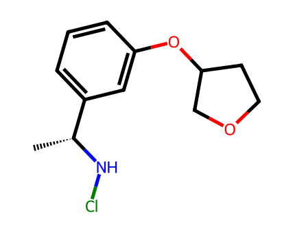 C[C@@H](NCl)c1cccc(OC2CCOC2)c1